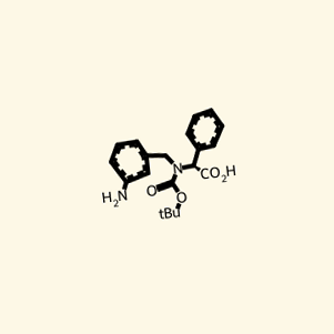 CC(C)(C)OC(=O)N(Cc1cccc(N)c1)[C@H](C(=O)O)c1ccccc1